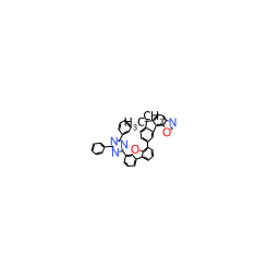 CC1(C)c2ccc(-c3cccc4c3oc3c(-c5nc(-c6ccccc6)nc(-c6ccccc6)n5)cccc34)cc2-c2c1ccc1ncoc21